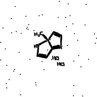 C[N+]12C=CN=C1C=CN2.Cl.Cl